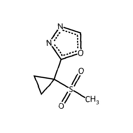 CS(=O)(=O)C1(c2nnco2)CC1